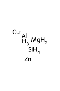 [AlH3].[Cu].[MgH2].[SiH4].[Zn]